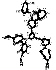 N#Cc1ccc(-c2cccc(-c3cc(-c4ccc5c(c4)c4ccccc4n5-c4ccccc4)cc(-n4c5ccc(C#N)cc5c5cc(C#N)ccc54)c3)n2)cc1